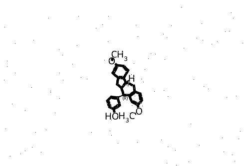 COc1ccc2c(c1)CC1[C@H](c3cccc(O)c3)c3cc(OC)ccc3C[C@@H]21